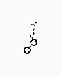 CN(C)CCCOc1cccc(-c2ccccc2)c1